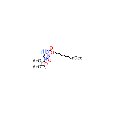 CCCCCCCCCCCCCCCCCCOC(=O)Nc1nc(=O)n(C2OC(C)C(OC(C)=O)C2OC(C)=O)cc1F